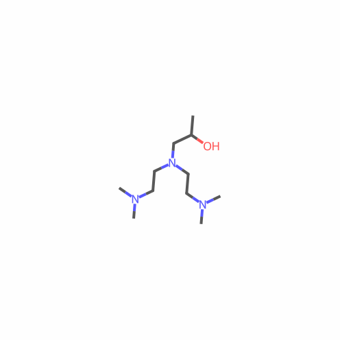 CC(O)CN(CCN(C)C)CCN(C)C